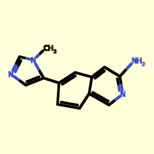 Cn1cncc1-c1ccc2cnc(N)cc2c1